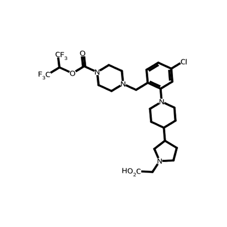 O=C(O)CN1CCC(C2CCN(c3cc(Cl)ccc3CN3CCN(C(=O)OC(C(F)(F)F)C(F)(F)F)CC3)CC2)C1